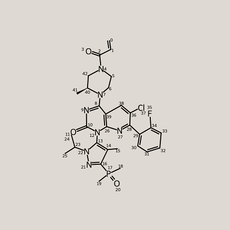 C=CC(=O)N1CCN(c2nc(=O)n(-c3c(C)c(P(C)(C)=O)nn3C(C)C)c3nc(-c4ccccc4F)c(Cl)cc23)[C@@H](C)C1